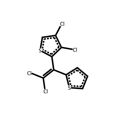 ClC(Cl)=C(c1cccs1)c1scc(Cl)c1Cl